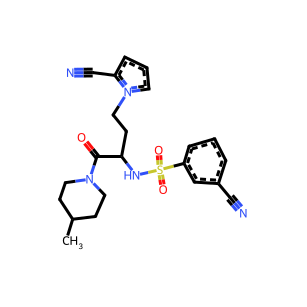 CC1CCN(C(=O)C(CCn2cccc2C#N)NS(=O)(=O)c2cccc(C#N)c2)CC1